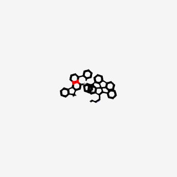 C=C/C=C\C1=C(c2ccccc2)C2(c3cc(N(c4ccc5c(c4)C(C)(C)c4ccccc4-5)c4ccccc4-c4ccccc4)ccc31)c1ccccc1-c1cccc(-c3ccccc3)c12